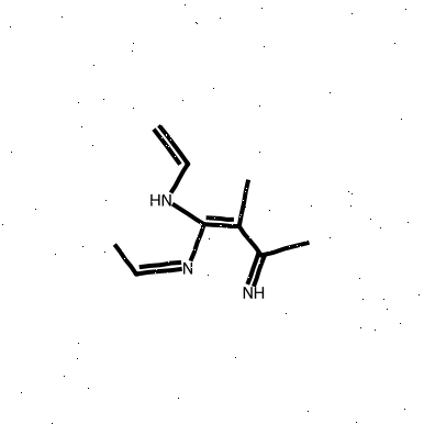 C=CNC(/N=C\C)=C(\C)C(C)=N